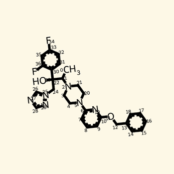 CC(N1CCN(c2cccc(OCc3ccccc3)n2)CC1)C(O)(Cn1cncn1)c1ccc(F)cc1F